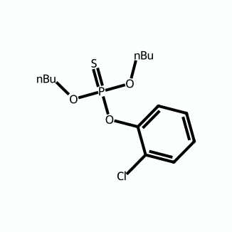 CCCCOP(=S)(OCCCC)Oc1ccccc1Cl